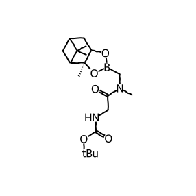 CN(CB1OC2CC3CC(C3(C)C)[C@]2(C)O1)C(=O)CNC(=O)OC(C)(C)C